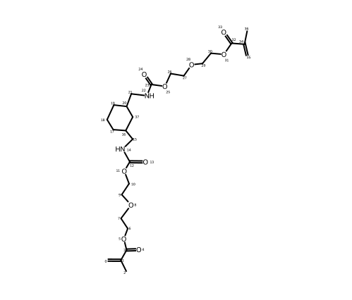 C=C(C)C(=O)OCCOCCOC(=O)NCC1CCCC(CNC(=O)OCCOCCOC(=O)C(=C)C)C1